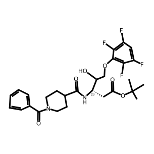 CC(C)(C)OC(=O)C[C@H](NC(=O)C1CCN(C(=O)c2ccccc2)CC1)C(O)COc1c(F)c(F)cc(F)c1F